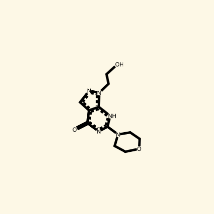 O=c1nc(N2CCOCC2)[nH]c2c1cnn2CCO